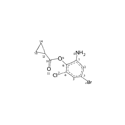 Nc1cc(Br)cc(Cl)c1OC(=O)C1CC1